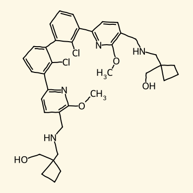 COc1nc(-c2cccc(-c3cccc(-c4ccc(CNCC5(CO)CCC5)c(OC)n4)c3Cl)c2Cl)ccc1CNCC1(CO)CCC1